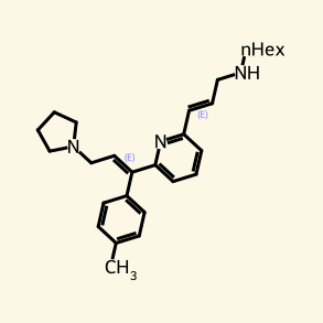 CCCCCCNC/C=C/c1cccc(/C(=C/CN2CCCC2)c2ccc(C)cc2)n1